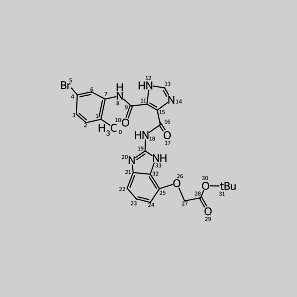 Cc1ccc(Br)cc1NC(=O)c1[nH]cnc1C(=O)Nc1nc2cccc(OCC(=O)OC(C)(C)C)c2[nH]1